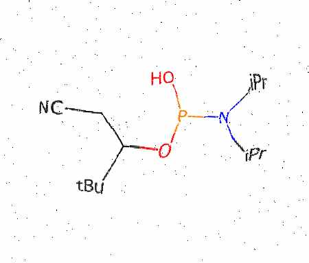 CC(C)N(C(C)C)P(O)OC(CC#N)C(C)(C)C